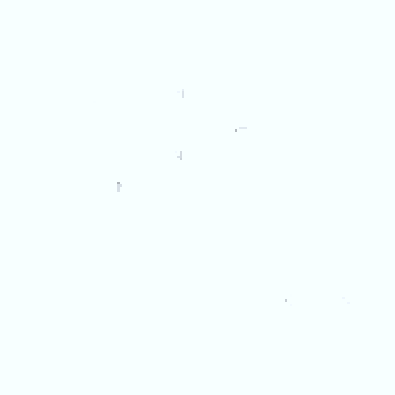 COc1cc(Nc2nc3c(c(N(C)C)n2)SC2(CCC2)C3)ccc1-c1cnc(C)o1